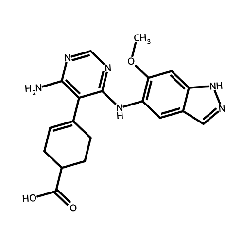 COc1cc2[nH]ncc2cc1Nc1ncnc(N)c1C1=CCC(C(=O)O)CC1